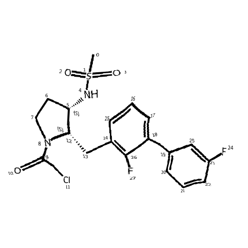 CS(=O)(=O)N[C@H]1CCN(C(=O)Cl)[C@H]1Cc1cccc(-c2cccc(F)c2)c1F